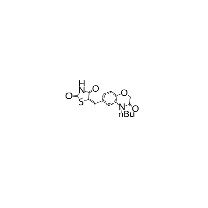 CCCCN1C(=O)COc2ccc(C=C3SC(=O)NC3=O)cc21